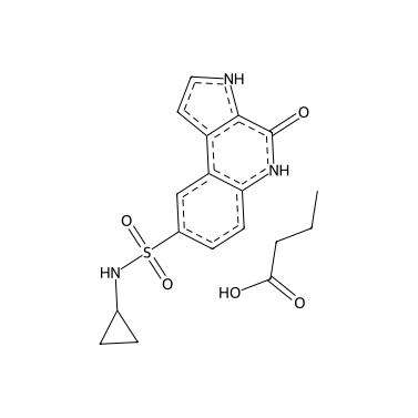 CCCC(=O)O.O=c1[nH]c2ccc(S(=O)(=O)NC3CC3)cc2c2cc[nH]c12